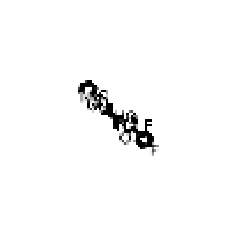 O=C([C@@H](CO)c1ccc(F)cc1F)N1CC(=C2CN(S(=O)(=O)c3ccccn3)C2)C1